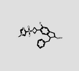 CNC1Cc2cc(F)c(C3CN(S(=O)(=O)c4cn(C)cn4)C3)cc2C1Cc1ccccc1